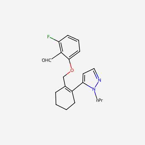 CCCn1nccc1C1=C(COc2cccc(F)c2C=O)CCCC1